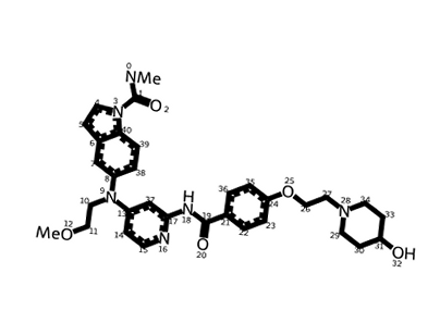 CNC(=O)n1ccc2cc(N(CCOC)c3ccnc(NC(=O)c4ccc(OCCN5CCC(O)CC5)cc4)c3)ccc21